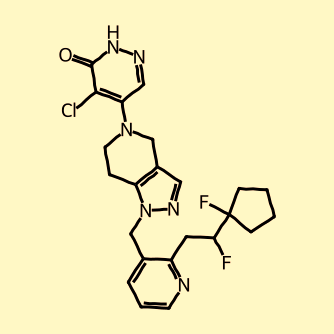 O=c1[nH]ncc(N2CCc3c(cnn3Cc3cccnc3CC(F)C3(F)CCCC3)C2)c1Cl